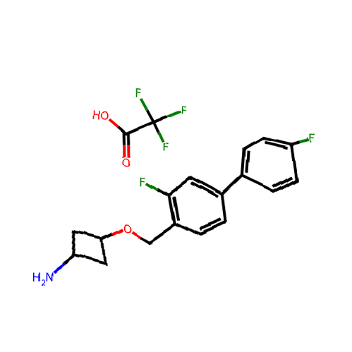 NC1CC(OCc2ccc(-c3ccc(F)cc3)cc2F)C1.O=C(O)C(F)(F)F